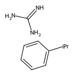 CC(C)c1ccccc1.N=C(N)N